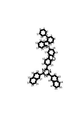 c1ccc(-c2cccc3c2c2ccccc2n3-c2ccc3oc4cc(-c5nc(-c6ccc7ccccc7c6)nc(-c6ccc7ccccc7c6)n5)ccc4c3c2)cc1